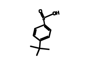 CC(C)(C)c1ccc(S(=O)O)cc1